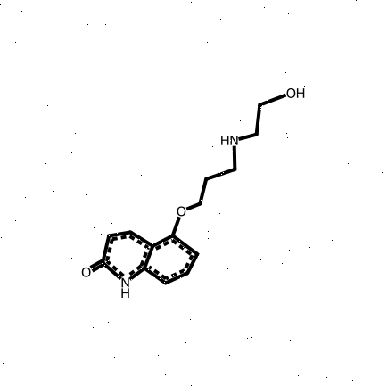 O=c1ccc2c(OCCCNCCO)cccc2[nH]1